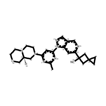 Cc1nc(N2CCN3CCOC[C@@H]3C2)cc(-n2ncc3cnc(C4(C#N)CC5(CC5)C4)cc32)n1